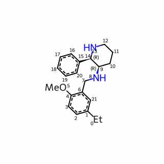 CCc1ccc(OC)c(CN[C@@H]2CCCN[C@@H]2c2ccccc2)c1